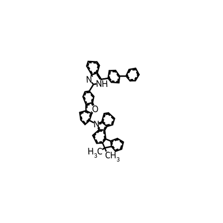 CC1(C)c2ccccc2-c2c1ccc1c2c2ccccc2n1-c1cccc2c1oc1cc(C3N=c4ccccc4=C(c4ccc(-c5ccccc5)cc4)N3)ccc12